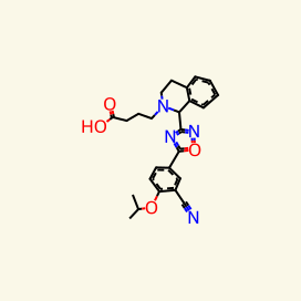 CC(C)Oc1ccc(-c2nc(C3c4ccccc4CCN3CCCC(=O)O)no2)cc1C#N